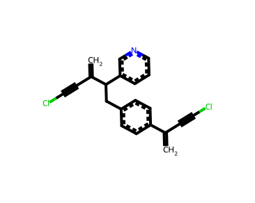 C=C(C#CCl)c1ccc(CC(C(=C)C#CCl)c2cccnc2)cc1